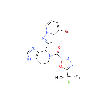 CC(C)(F)c1nnc(C(=O)N2CCc3[nH]cnc3C2c2cc3c(Br)cccn3n2)o1